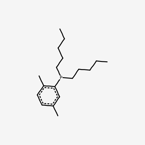 CCCCCP(CCCCC)c1cc(C)ccc1C